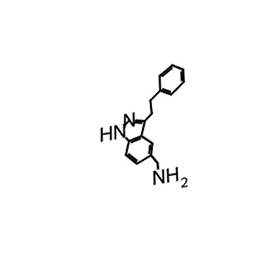 NCc1ccc2[nH]nc(CCc3ccccc3)c2c1